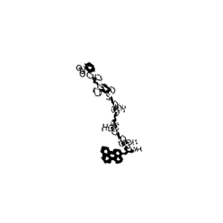 O=C(CN1CC(=O)C(SCCOP(=O)(O)OCCOP(=O)(O)OCCOP(=O)(O)OCC(CO)Cc2ccc3c4cccc5cccc(c6cccc2c63)c54)C1=O)Oc1ccccc1[N+](=O)[O-]